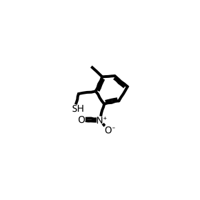 Cc1cccc([N+](=O)[O-])c1CS